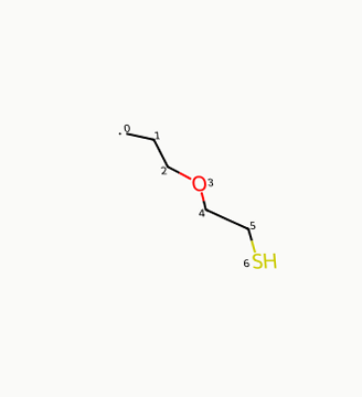 [CH2]CCOCCS